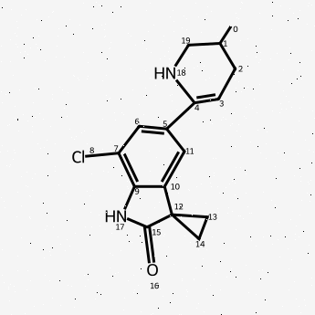 CC1CC=C(c2cc(Cl)c3c(c2)C2(CC2)C(=O)N3)NC1